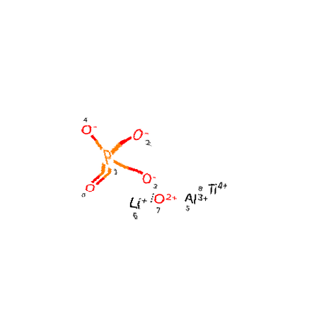 O=P([O-])([O-])[O-].[Al+3].[Li+].[O+2].[Ti+4]